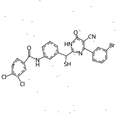 N#Cc1c(-c2cccc(Br)c2)nc(C(S)c2cccc(NC(=O)c3ccc(Cl)c(Cl)c3)c2)[nH]c1=O